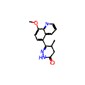 COc1ccc(C2=NNC(=O)CC2C)c2cccnc12